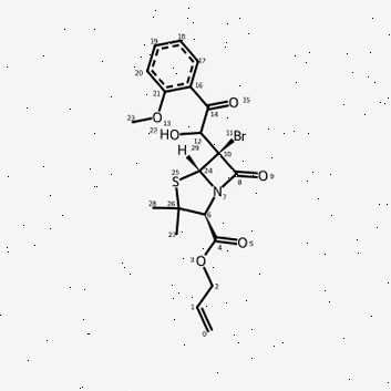 C=CCOC(=O)[C@@H]1N2C(=O)[C@@](Br)(C(O)C(=O)c3ccccc3OC)[C@H]2SC1(C)C